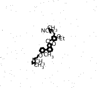 CCOc1cc(O[C@H]2CCc3c(-c4cccc(OCCCN5CCC5(C)C)c4C)cccc32)c(Cl)cc1CN1CC(C)(C#N)C1